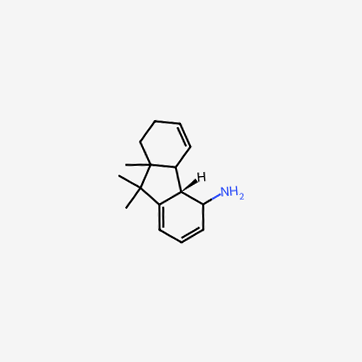 CC1(C)C2=CC=CC(N)[C@H]2C2C=CCCC21C